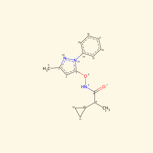 Cc1cc(ONC(=O)C(C)C2CC2)n(-c2ccccc2)n1